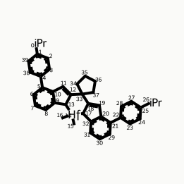 CC(C)c1ccc(-c2cccc3c2C=C2[CH]3[Hf]([CH3])([CH3])[CH]3C(=Cc4c(-c5ccc(C(C)C)cc5)cccc43)C23CCCC3)cc1